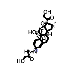 C[C@@H]1C[C@H]2[C@@H]3CCC4=C/C(=N/NC(=O)CO)C=C[C@]4(C)[C@@]3(F)[C@@H](O)C[C@@]23O[C@]13C(=O)CO